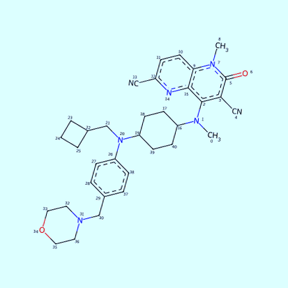 CN(c1c(C#N)c(=O)n(C)c2ccc(C#N)nc12)C1CCC(N(CC2CCC2)c2ccc(CN3CCOCC3)cc2)CC1